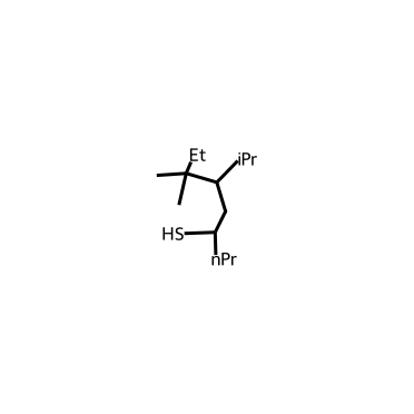 CCCC(S)CC(C(C)C)C(C)(C)CC